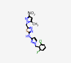 Cc1cc([N+](=O)[O-])nn1Cc1nnc(Nc2ccn(Cc3c(F)cccc3Cl)n2)s1